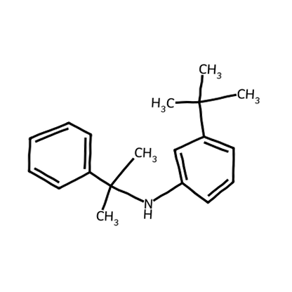 CC(C)(C)c1cccc(NC(C)(C)c2ccccc2)c1